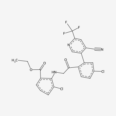 CCOC(=O)c1cccc(Cl)c1NCC(=O)c1ccc(Cl)cc1-c1cnc(C(F)(F)F)cc1C#N